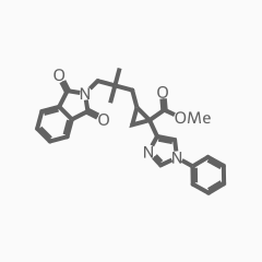 COC(=O)C1(c2cn(-c3ccccc3)cn2)CC1CC(C)(C)CN1C(=O)c2ccccc2C1=O